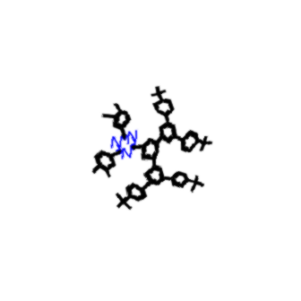 Cc1ccc(-c2nc(-c3cc(-c4cc(-c5ccc(C(C)(C)C)cc5)cc(-c5ccc(C(C)(C)C)cc5)c4)cc(-c4cc(-c5ccc(C(C)(C)C)cc5)cc(-c5ccc(C(C)(C)C)cc5)c4)c3)nc(-c3ccc(C)c(C)c3)n2)cc1C